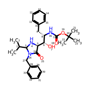 CC(C)C1N[C@@H]([C@@H](O)[C@H](Cc2ccccc2)NC(=O)OC(C)(C)C)C(=O)N1Cc1ccccc1